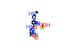 Cc1cn2cc(NC(=O)c3ccc(N4CCC(NC5CC5)CC4)c4cn(C)nc34)nc2c(CN(C)S(C)(=O)=O)n1.O=C(O)C(F)(F)F